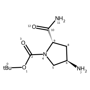 CC(C)(C)OC(=O)N1C[C@H](N)C[C@H]1C(N)=O